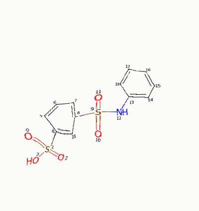 O=S(=O)(O)c1cccc(S(=O)(=O)Nc2ccccc2)c1